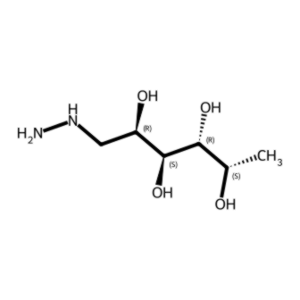 C[C@H](O)[C@@H](O)[C@@H](O)[C@H](O)CNN